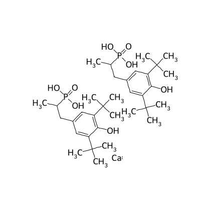 CC(Cc1cc(C(C)(C)C)c(O)c(C(C)(C)C)c1)P(=O)(O)O.CC(Cc1cc(C(C)(C)C)c(O)c(C(C)(C)C)c1)P(=O)(O)O.[Ca]